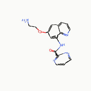 NCCOc1cc(NC(=O)c2ncccn2)c2ncccc2c1